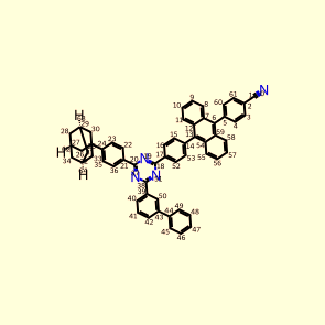 N#Cc1ccc(-c2c3ccccc3c(-c3ccc(-c4nc(-c5ccc(C67C[C@H]8C[C@@H](C6)C[C@@H](C7)C8)cc5)nc(-c5cccc(-c6ccccc6)c5)n4)cc3)c3ccccc23)cc1